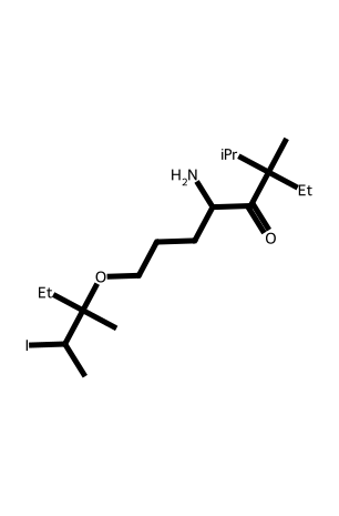 CCC(C)(OCCCC(N)C(=O)C(C)(CC)C(C)C)C(C)I